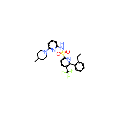 CCc1ccccc1-c1nc(S(=O)(=O)Nc2cccc(N3CCC(C)CC3)n2)ccc1C(F)(F)F